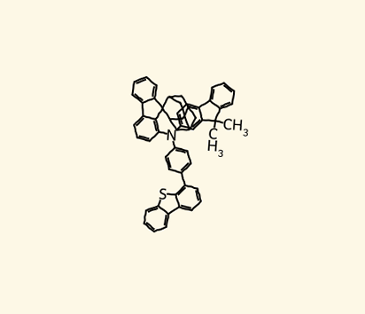 CC1(C)c2ccccc2-c2ccc(N(c3ccc(-c4cccc5c4sc4ccccc45)cc3)c3cccc4c3C3(c5ccccc5-4)C4CC5CC(C4)CC3C5)cc21